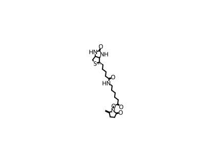 C=C1CCC(=O)N1OC(=O)CCCCCNC(=O)CCCC[C@H]1SCC2NC(=O)NC21